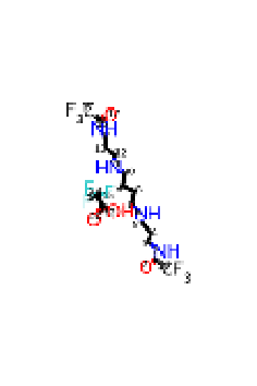 O=C(NCCCNCCCCNCCCNC(=O)C(F)(F)F)C(F)(F)F.O=C(O)C(F)(F)F